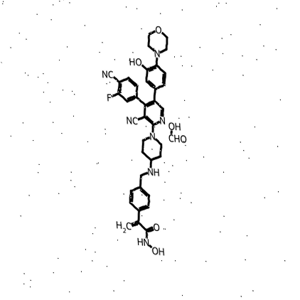 C=C(C(=O)NO)c1ccc(CNC2CCN(c3ncc(-c4ccc(N5CCOCC5)c(O)c4)c(-c4ccc(C#N)c(F)c4)c3C#N)CC2)cc1.O=CO